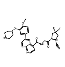 COc1ccc(-c2ccc3nccc(C(=O)NCC(=O)N4CC(F)(F)C[C@H]4C#N)c3c2)cc1OC1CCNCC1